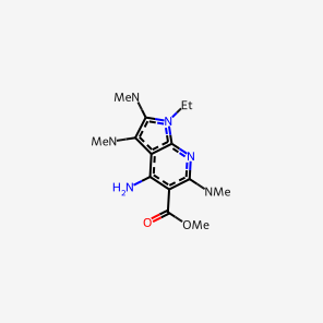 CCn1c(NC)c(NC)c2c(N)c(C(=O)OC)c(NC)nc21